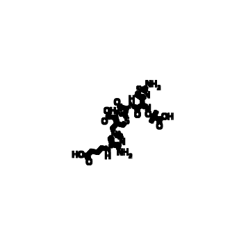 CC(C)(O/N=C(\C(=O)N[C@@H]1C(=O)N2C(C(=O)O)=C(C[n+]3cnc(N)c(NCCCC(=O)O)c3)CSC12)c1csc(N)n1)C(=O)O